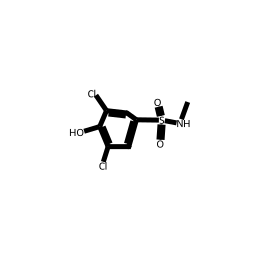 CNS(=O)(=O)c1cc(Cl)c(O)c(Cl)c1